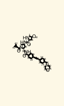 CO[C@H]1CN[C@H](C(=O)N[C@@H]2C[C@H](CNC(=O)c3ccc(C#Cc4ccc(CN5CCOCC5)cc4)cc3)N(C(=O)C3CC3)C2)C1